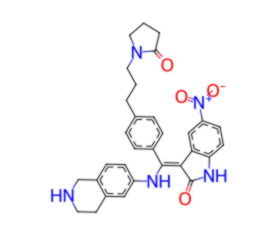 O=C1Nc2ccc([N+](=O)[O-])cc2C1=C(Nc1ccc2c(c1)CCNC2)c1ccc(CCCN2CCCC2=O)cc1